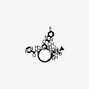 Cc1nc2ccc(F)cc2nc1O[C@@H]1C[C@H]2C(=O)N[C@]3(C(=O)NS(=O)(=O)C4CC4)C[C@H]3C=CCCCCC[C@H](NC(=O)c3cnccn3)C(=O)N2C1